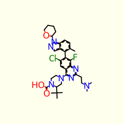 Cc1ccc2c(cnn2C2CCCCO2)c1-c1c(Cl)cc2c(N3CCN(C(=O)O)C(C(C)(C)C)C3)nc(CCN(C)C)nc2c1F